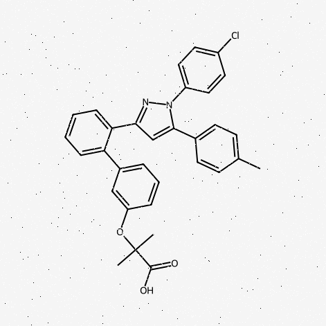 Cc1ccc(-c2cc(-c3ccccc3-c3cccc(OC(C)(C)C(=O)O)c3)nn2-c2ccc(Cl)cc2)cc1